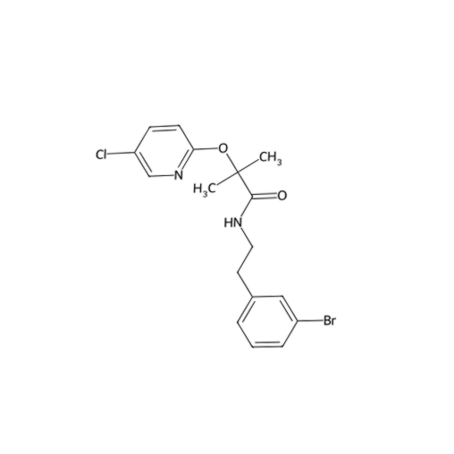 CC(C)(Oc1ccc(Cl)cn1)C(=O)NCCc1cccc(Br)c1